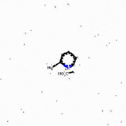 CC(=O)O.[Hg][c]1ccccn1